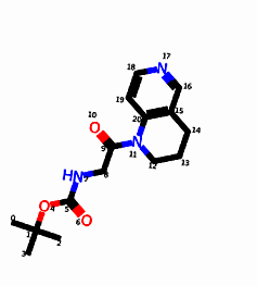 CC(C)(C)OC(=O)NCC(=O)N1CCCc2cnccc21